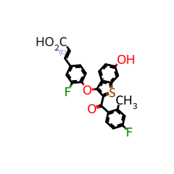 Cc1cc(F)ccc1C(=O)c1sc2cc(O)ccc2c1Oc1ccc(/C=C/C(=O)O)cc1F